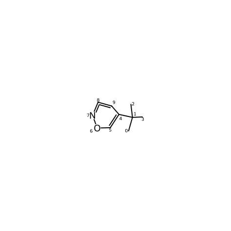 CC(C)(C)C1=CON=C=C1